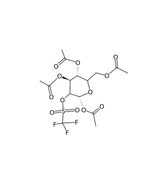 CC(=O)OCC1O[C@H](OC(C)=O)C(OS(=O)(=O)C(F)(F)F)[C@@H](OC(C)=O)[C@@H]1OC(C)=O